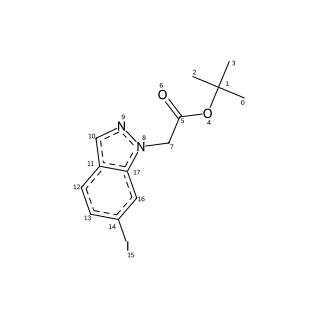 CC(C)(C)OC(=O)Cn1ncc2ccc(I)cc21